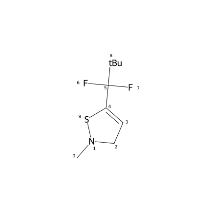 CN1CC=C(C(F)(F)C(C)(C)C)S1